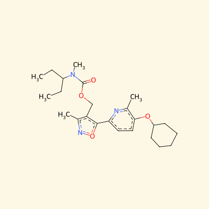 CCC(CC)N(C)C(=O)OCc1c(C)noc1-c1ccc(OC2CCCCC2)c(C)n1